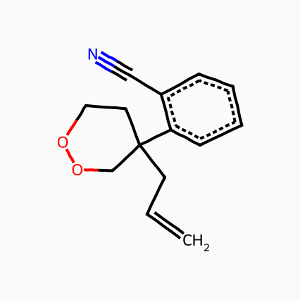 C=CCC1(c2ccccc2C#N)CCOOC1